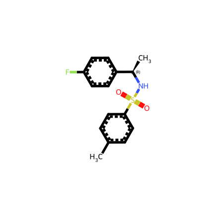 Cc1ccc(S(=O)(=O)N[C@H](C)c2ccc(F)cc2)cc1